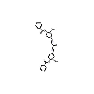 COc1cc(/C=C/C(=O)/C=C/c2ccc(OC(=O)c3ccccc3)c(OC)c2)ccc1OC(=O)c1ccccc1